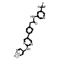 C/C=C(\C=N/C)Nc1ncc(-c2ccc(CC(=O)Nc3cncc(C(F)(F)F)c3)cc2)cn1